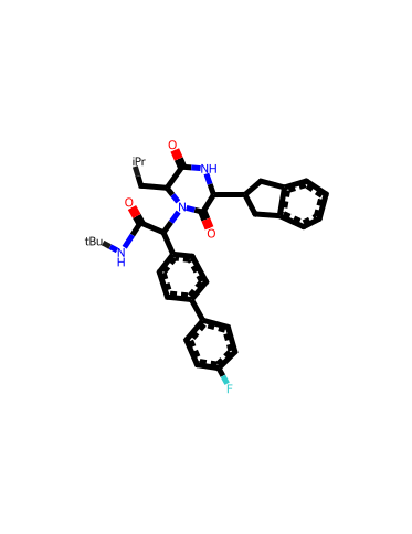 CC(C)CC1C(=O)NC(C2Cc3ccccc3C2)C(=O)N1C(C(=O)NC(C)(C)C)c1ccc(-c2ccc(F)cc2)cc1